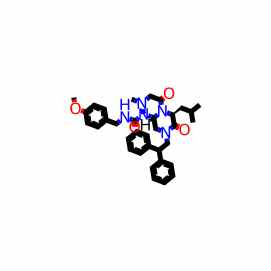 COc1ccc(CNC(=O)N2[C@H]3CN(CC(c4ccccc4)c4ccccc4)C(=O)[C@H](CC(C)C)N3C(=O)CN2C)cc1